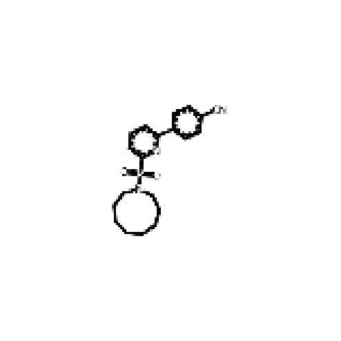 N#Cc1ccc(-c2cccc(S(=O)(=O)N3CCCCCCCC3)n2)cc1